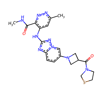 CNC(=O)c1nnc(C)cc1Nc1nc2ccc(N3CC(C(=O)N4CCSC4)C3)cn2n1